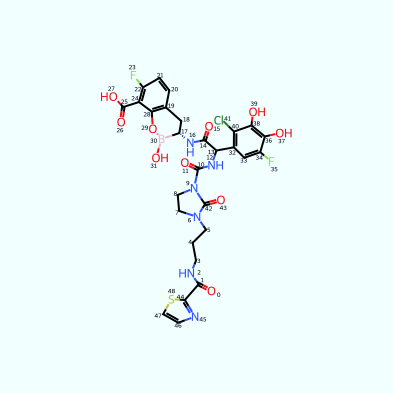 O=C(NCCCN1CCN(C(=O)NC(C(=O)N[C@H]2Cc3ccc(F)c(C(=O)O)c3OB2O)c2cc(F)c(O)c(O)c2Cl)C1=O)c1nccs1